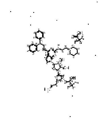 C=CCn1nnc([C@H]2O[C@@H](n3cnc4c(NCC(c5ccccc5)c5ccccc5)nc(NCCN5CCCCC5)nc43)[C@H](O)[C@@H]2O)n1.O=C(O)C(F)(F)F.O=C(O)C(F)(F)F